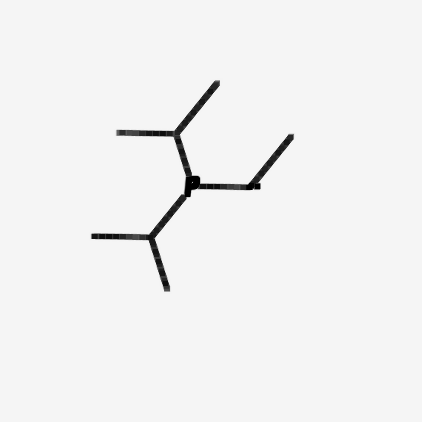 C[CH]P(C(C)C)C(C)C